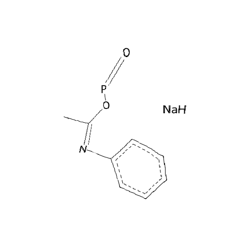 CC(=Nc1ccccc1)OP=O.[NaH]